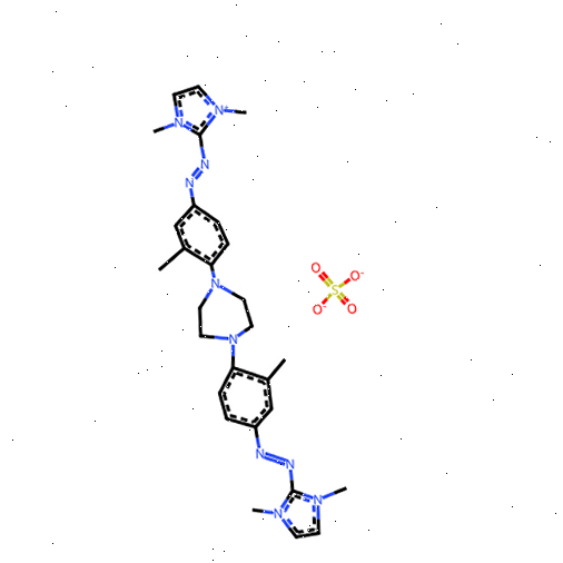 Cc1cc(/N=N/c2n(C)cc[n+]2C)ccc1N1CCN(c2ccc(/N=N/c3n(C)cc[n+]3C)cc2C)CC1.O=S(=O)([O-])[O-]